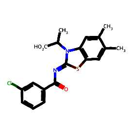 Cc1cc2sc(=NC(=O)c3cccc(Cl)c3)n(C(C)C(=O)O)c2cc1C